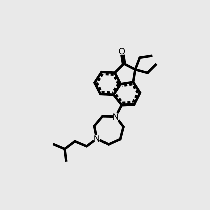 CCC1(CC)C(=O)c2cccc3c(N4CCCN(CCC(C)C)CC4)ccc1c23